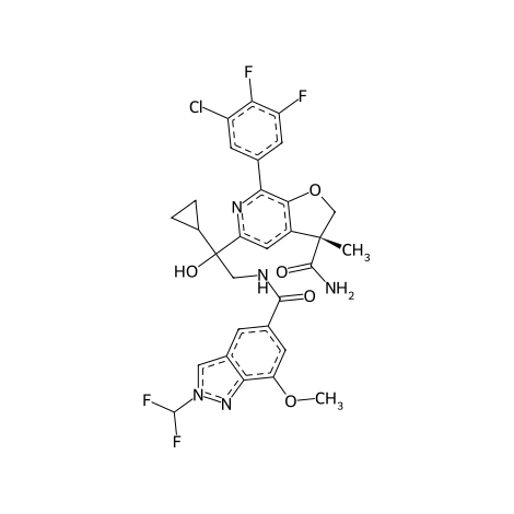 COc1cc(C(=O)NCC(O)(c2cc3c(c(-c4cc(F)c(F)c(Cl)c4)n2)OC[C@]3(C)C(N)=O)C2CC2)cc2cn(C(F)F)nc12